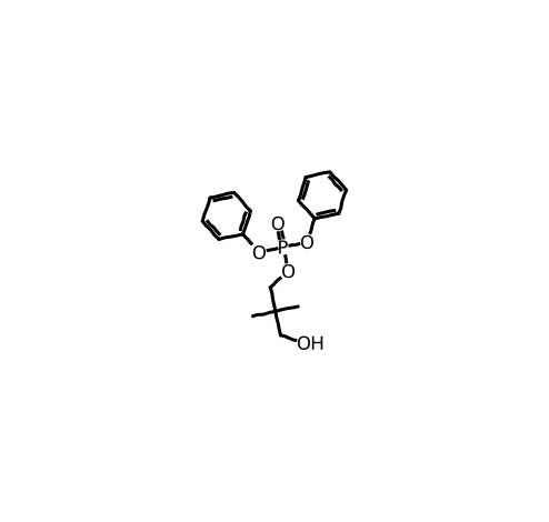 CC(C)(CO)COP(=O)(Oc1ccccc1)Oc1ccccc1